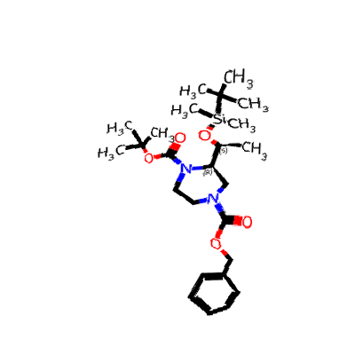 C[C@H](O[Si](C)(C)C(C)(C)C)[C@H]1CN(C(=O)OCc2ccccc2)CCN1C(=O)OC(C)(C)C